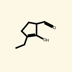 CCC1=C(O)C(C=O)CC1